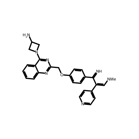 CN/C=C(\C(=N)c1ccc(OCc2nc(N3CC(N)C3)c3ccccc3n2)cc1)c1ccncc1